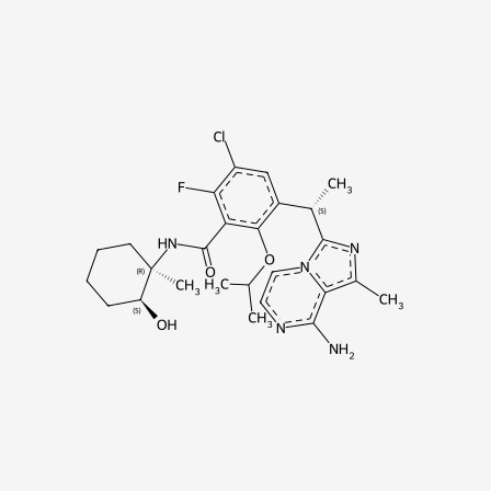 Cc1nc([C@@H](C)c2cc(Cl)c(F)c(C(=O)N[C@]3(C)CCCC[C@@H]3O)c2OC(C)C)n2ccnc(N)c12